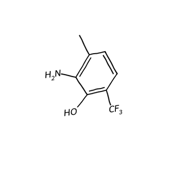 Cc1ccc(C(F)(F)F)c(O)c1N